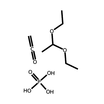 C=C=O.CCOC(C)OCC.O=P(O)(O)O